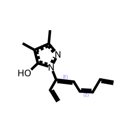 C=C/C=C\C=C(/C=C)n1nc(C)c(C)c1O